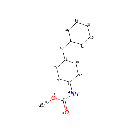 CC(C)(C)OC(=O)NC1CCC(CC2CCCCC2)CC1